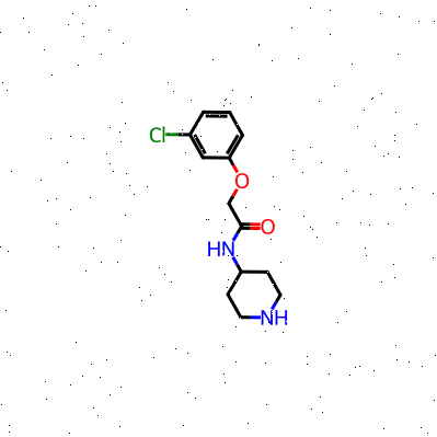 O=C(COc1cccc(Cl)c1)NC1CCNCC1